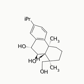 CC(C)c1ccc2c(c1)[C@@H](O)[C@H](O)[C@H]1[C@](C)(CO)CCC[C@]21C